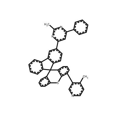 Cc1nc(-c2ccccc2)cc(-c2ccc3c(c2)-c2ccccc2C32c3ccccc3Sc3c(-c4cnccc4C)cccc32)n1